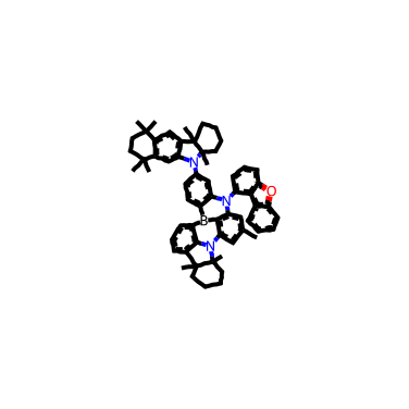 Cc1cc2c3c(c1)N1c4c(cccc4C4(C)CCCCC14C)B3c1ccc(N3c4cc5c(cc4C4(C)CCCCC34C)C(C)(C)CCC5(C)C)cc1N2c1cccc2oc3ccccc3c12